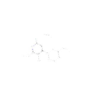 CNc1nc(Cl)cc(N2CCCC(NC(C)(C)C)C2)c1[N+](=O)[O-].NC(=O)O